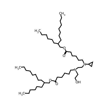 CCCCCCCCC(CCCCCC)COC(=O)CCCCCN(CCO)CCN(CCCCCC(=O)OCC(CCCCCC)CCCCCCCC)C1CC1